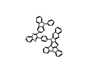 c1ccc(-n2c3ccccc3c3cc(-c4nc5ccccc5nc4-c4ccc(-n5c6cc7ccccc7cc6c6cc7c8ccccc8n8c9ccccc9c(c65)c78)cc4)ccc32)cc1